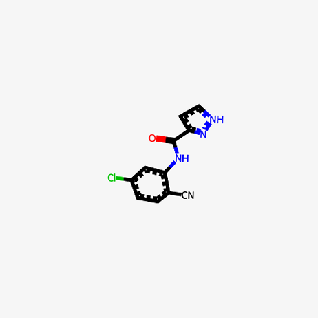 N#Cc1ccc(Cl)cc1NC(=O)c1cc[nH]n1